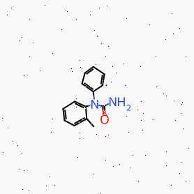 Cc1ccccc1N(C(N)=O)c1[c]cccc1